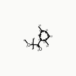 COC(C)(C)C(=O)c1cc(C)ccc1C